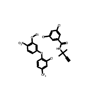 C#CC(C)(C)NC(=O)c1cc(Cl)cc(Cl)c1.CCOc1cc(Oc2ccc(C(F)(F)F)cc2Cl)ccc1[N+](=O)[O-]